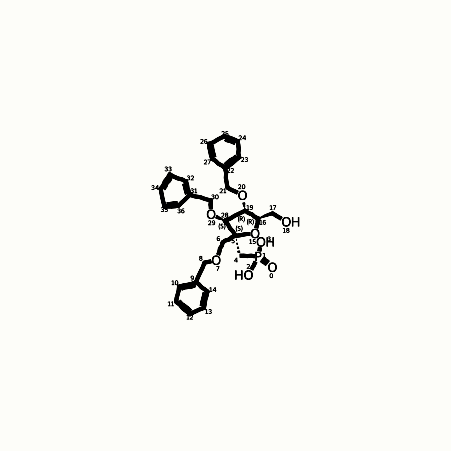 O=P(O)(O)C[C@@]1(COCc2ccccc2)O[C@H](CO)[C@@H](OCc2ccccc2)[C@@H]1OCc1ccccc1